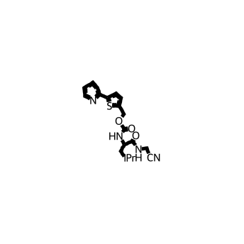 CC(C)CC(NC(=O)OCc1ccc(-c2ccccn2)s1)C(=O)NCC#N